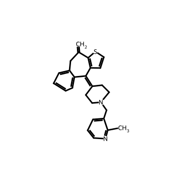 C=C1Cc2ccccc2C(=C2CCN(Cc3cccnc3C)CC2)c2ccsc21